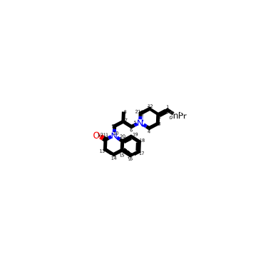 CCCC=C1CCN(CC(C)CN2C(=O)CCc3ccccc32)CC1